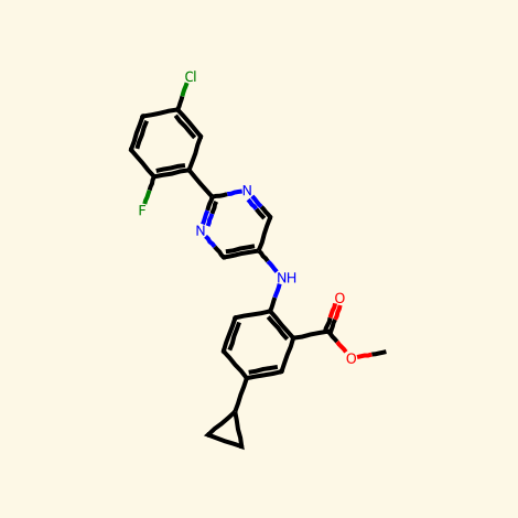 COC(=O)c1cc(C2CC2)ccc1Nc1cnc(-c2cc(Cl)ccc2F)nc1